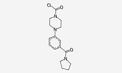 O=C(Cl)N1CCN(c2cccc(C(=O)N3CCCC3)c2)CC1